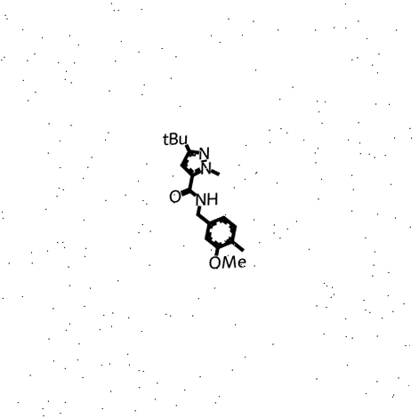 COc1cc(CNC(=O)c2cc(C(C)(C)C)nn2C)ccc1C